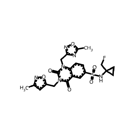 Cc1cc(Cn2c(=O)c3cc(S(=O)(=O)NC4(CF)CC4)ccc3n(Cc3noc(C)n3)c2=O)on1